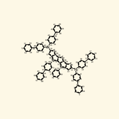 c1ccc(-c2ccc(N(c3ccc(-c4ccccc4)cc3)c3cc4c(s3)c3sc5c6sc(N(c7ccc(-c8ccccc8)cc7)c7ccc(-c8ccccc8)cc7)cc6n(-c6ccc(-c7ccccc7)cc6)c5c3n4-c3ccccc3)cc2)cc1